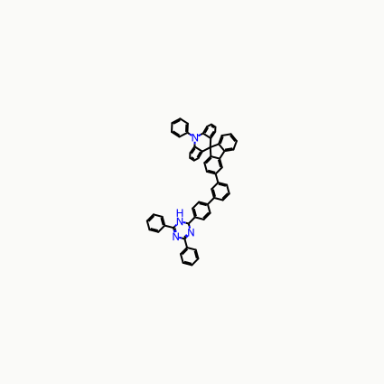 c1ccc(C2=NC(c3ccc(-c4cccc(-c5ccc6c(c5)-c5ccccc5C65c6ccccc6N(c6ccccc6)c6ccccc65)c4)cc3)NC(c3ccccc3)=N2)cc1